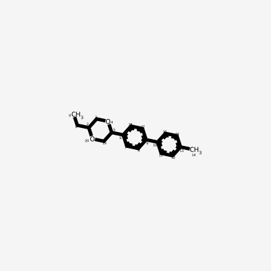 CCC1COC(c2ccc(-c3ccc(C)cc3)cc2)CO1